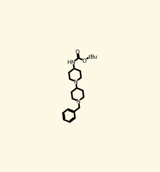 CC(C)(C)OC(=O)NC1CCN(C2CCN(Cc3ccccc3)CC2)CC1